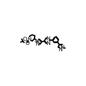 Cn1cc(-c2cccc(-c3ncc(-c4cnn(C5CCCN(C(=O)OC(C)(C)C)C5)c4)cn3)c2)cn1